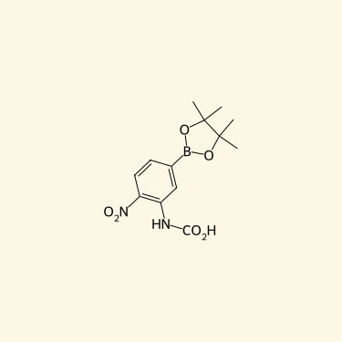 CC1(C)OB(c2ccc([N+](=O)[O-])c(NC(=O)O)c2)OC1(C)C